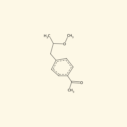 COC(C)Cc1ccc(C(C)=O)cc1